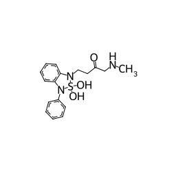 CNCC(=O)CCN1c2ccccc2N(c2ccccc2)S1(O)O